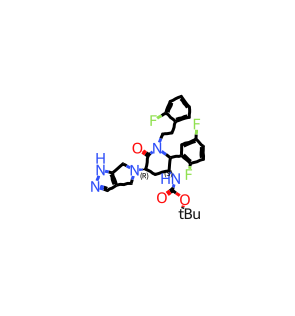 CC(C)(C)OC(=O)N[C@H]1C[C@@H](N2Cc3cn[nH]c3C2)C(=O)N(CCc2ccccc2F)C1c1cc(F)ccc1F